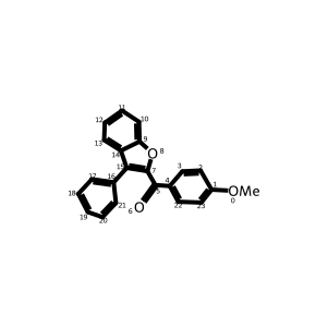 COc1ccc(C(=O)c2oc3ccccc3c2-c2ccccc2)cc1